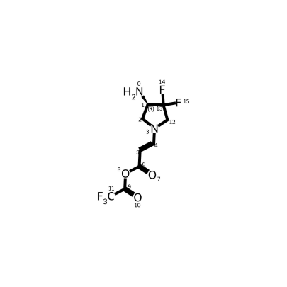 N[C@@H]1CN(C=CC(=O)OC(=O)C(F)(F)F)CC1(F)F